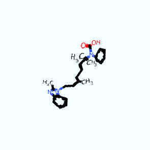 CC(=CCn1c(C)nc2ccccc21)CCCC(C)(C)N(C(=O)O)c1ccccc1